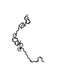 CC/C=C\C/C=C\C/C=C\CCCCCCCC(=O)Oc1ccc2ccc(OCCCCN3CCN(c4cccc5sccc45)CC3)cc2n1